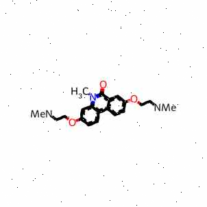 CNCCOc1ccc2c(c1)c(=O)n(C)c1cc(OCCNC)ccc21